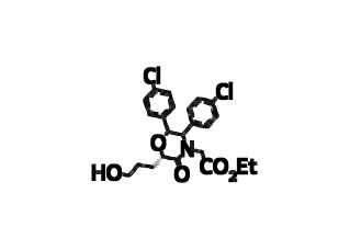 CCOC(=O)CN1C(=O)[C@H](CCCO)OC(c2ccc(Cl)cc2)C1c1ccc(Cl)cc1